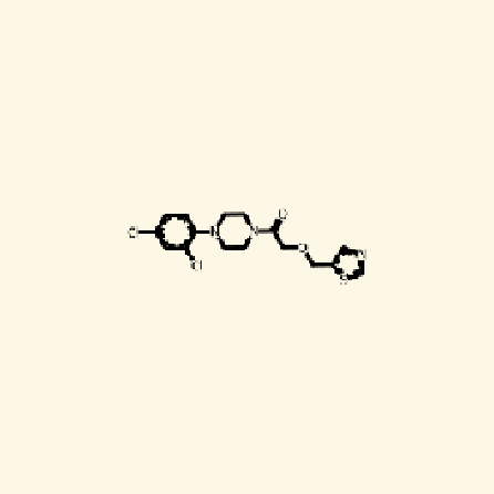 O=C(COCc1cncs1)N1CCN(c2ccc(Cl)cc2Cl)CC1